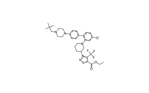 CCOC(=O)c1cnn(C2CCCN(c3cc(Cl)ccc3-c3ccc(N4CCN(CC(C)(C)C)CC4)cc3)C2)c1C(F)(F)F